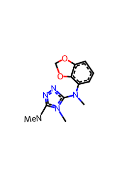 CNc1nnc(N(C)c2cccc3c2OCO3)n1C